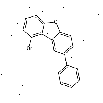 Brc1cccc2oc3ccc(-c4ccccc4)cc3c12